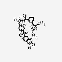 Cc1nc(C)c(-c2cccc(C(=O)NC(C)CN3CCN(S(=O)(=O)c4ccc5[nH]c(=O)sc5c4)CC3)c2)s1